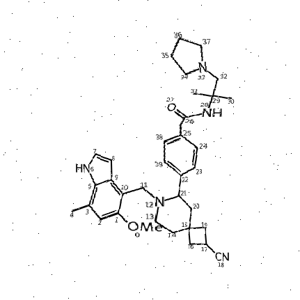 COc1cc(C)c2[nH]ccc2c1CN1CCC2(CC(C#N)C2)CC1c1ccc(C(=O)NC(C)(C)CN2CCCC2)cc1